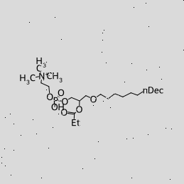 CCCCCCCCCCCCCCCCOCC(COP(=O)(O)OCC[N+](C)(C)C)OC(=O)CC